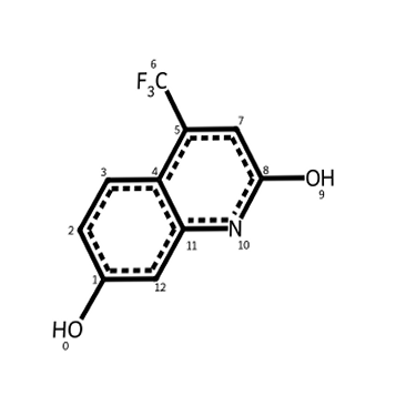 Oc1ccc2c(C(F)(F)F)cc(O)nc2c1